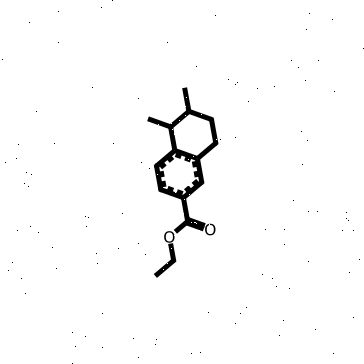 CCOC(=O)c1ccc2c(c1)CCC(C)C2C